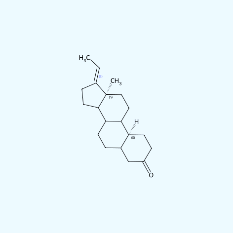 C/C=C1\CCC2C3CCC4CC(=O)CC[C@@H]4C3CC[C@]12C